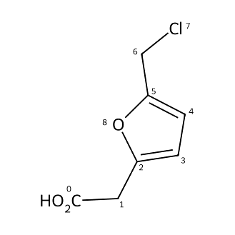 O=C(O)Cc1ccc(CCl)o1